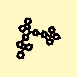 c1ccc(-n2c3ccccc3c3c(-c4ccc(N(c5ccc(-c6ccc7c(c6)-c6ccccc6[Si]7(c6ccccc6)c6ccccc6)cc5)c5cc6ccccc6c6ccccc56)cc4)cccc32)cc1